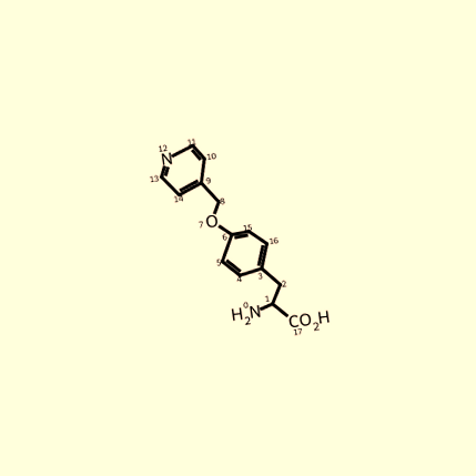 NC(Cc1ccc(OCc2ccncc2)cc1)C(=O)O